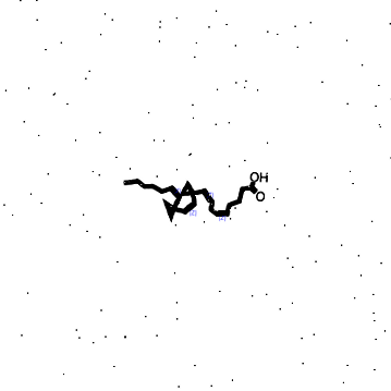 CCCCC/C=C\C1(/C=C\C2(/C=C\C/C=C\CCCC(=O)O)CC2)CC1